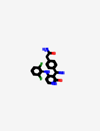 N=C(c1ccc(CC(N)=O)cc1)c1c(Nc2c(F)cccc2F)cc[nH]c1=O